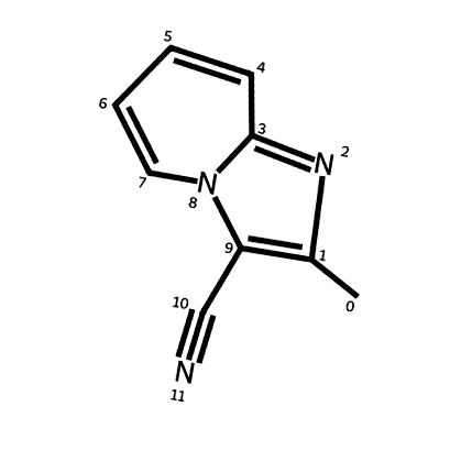 Cc1nc2ccccn2c1C#N